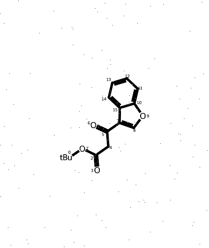 CC(C)(C)OC(=O)CC(=O)c1coc2ccccc12